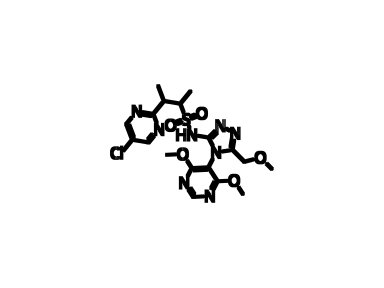 COCc1nnc(NS(=O)(=O)C(C)C(C)c2ncc(Cl)cn2)n1-c1c(OC)ncnc1OC